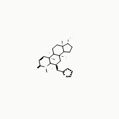 CN1C(=O)C=C[C@]2(C)[C@H]3CC[C@]4(C)[C@@H](O)CC[C@H]4[C@@H]3C/C(=C\c3ccco3)[C@@H]12